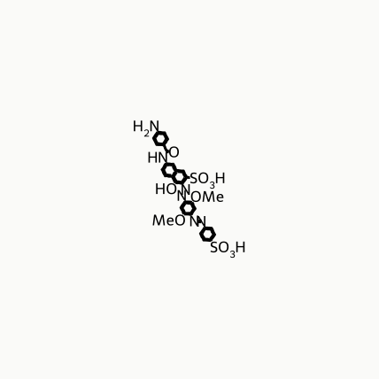 COc1cc(N=Nc2c(S(=O)(=O)O)cc3cc(NC(=O)c4ccc(N)cc4)ccc3c2O)c(OC)cc1N=Nc1ccc(S(=O)(=O)O)cc1